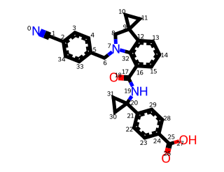 N#Cc1ccc(CN2CC3(CC3)c3cccc(C(=O)NC4(c5ccc(C(=O)O)cc5)CC4)c32)cc1